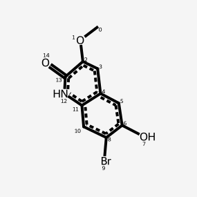 COc1cc2cc(O)c(Br)cc2[nH]c1=O